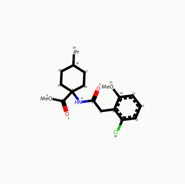 COC(=O)C1(NC(=O)Cc2c(Cl)cccc2OC)CCC(C(C)C)CC1